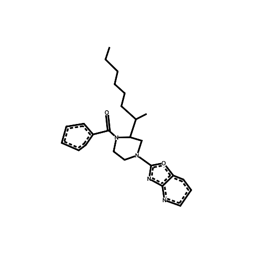 CCCCCCC(C)C1CN(c2nc3ncccc3o2)CCN1C(=O)c1ccccc1